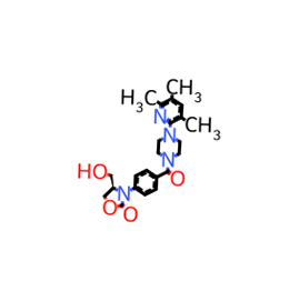 Cc1cc(C)c(N2CCN(C(=O)c3ccc(N4C(=O)OC[C@H]4CO)cc3)CC2)nc1C